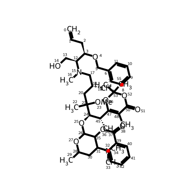 C=CC[C@@H](OCc1ccccc1)[C@H](CO)N(C)C[C@H](C)CC(C)(OC)[C@H](OC1OC(C)CC(N(C)C)C1OC(=O)c1ccccc1)[C@@H](C)C1=C(C)C(=O)OC(C)(C)O1